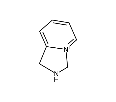 c1cc[n+]2c(c1)CNC2